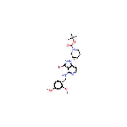 COc1ccc(CNc2nccc3c2c(Br)nn3[C@H]2CCCN(C(=O)OC(C)(C)C)C2)c(OC)c1